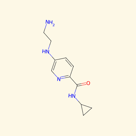 NCCNc1ccc(C(=O)NC2CC2)nc1